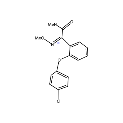 CNC(=O)/C(=N\OC)c1ccccc1Oc1ccc(Cl)cc1